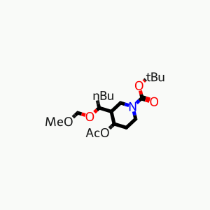 CCCCC(OCOC)C1CN(C(=O)OC(C)(C)C)CCC1OC(C)=O